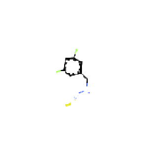 CN(Cc1cc(F)cc(F)c1)N=S=S